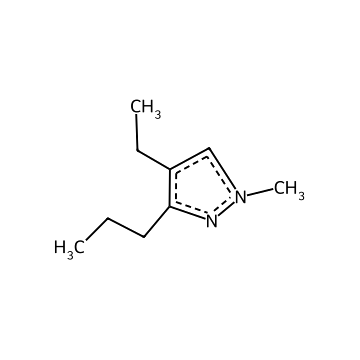 CCCc1nn(C)cc1CC